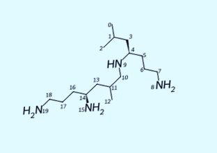 CC(C)C[C@@H](CCCN)NCC(C)C[C@@H](N)CCCN